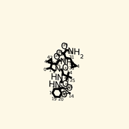 CC1CN(C(=O)[C@@H](NC(=O)NC2(CS(C)(=O)=O)CCCCC2)C(C)(C)C)C(C(=O)NC(CC2CC2)C(=O)C(N)=O)C12CC2